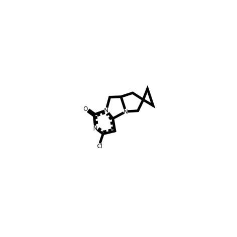 O=c1nc(Cl)cc2n1CC1CC3(CC3)CN21